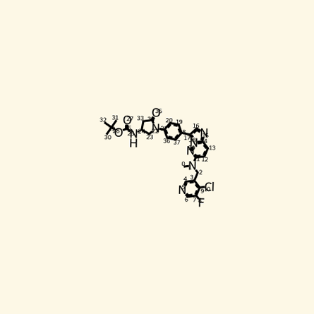 CN(Cc1cncc(F)c1Cl)c1ccc2ncc(-c3ccc(N4C[C@@H](NC(=O)OC(C)(C)C)CC4=O)cc3)n2n1